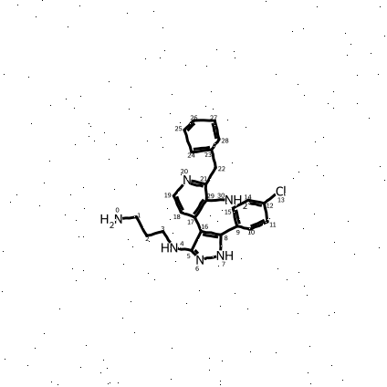 NCCCNc1n[nH]c(-c2ccc(Cl)cc2)c1-c1ccnc(Cc2ccccc2)c1N